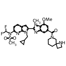 COc1cc(C(=O)N2CCCC3(CCN3)C2)cc2nc(-c3cc4ccc(N(C(F)F)S(C)(=O)=O)nc4n3CC3CC3)n(C)c12